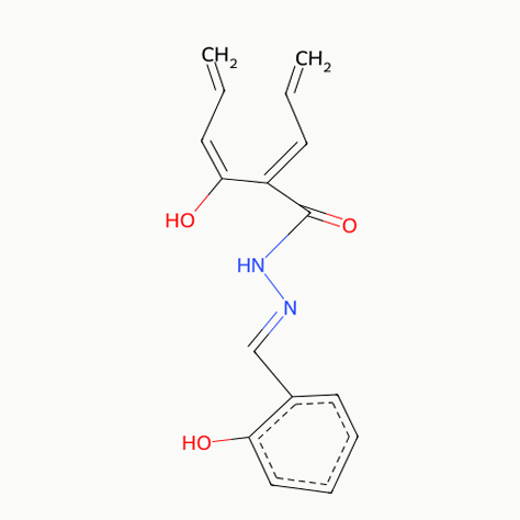 C=C/C=C(O)\C(=C/C=C)C(=O)N/N=C/c1ccccc1O